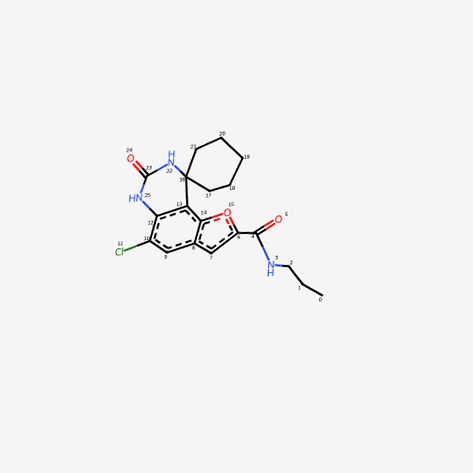 CCCNC(=O)c1cc2cc(Cl)c3c(c2o1)C1(CCCCC1)NC(=O)N3